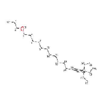 CCCOCCCCCCCCCCCC#C[Si](CC)(CC)CC